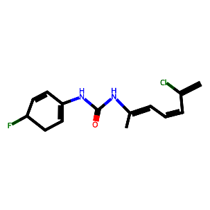 C=C(Cl)/C=C\C=C(/C)NC(=O)NC1=CCC(F)C=C1